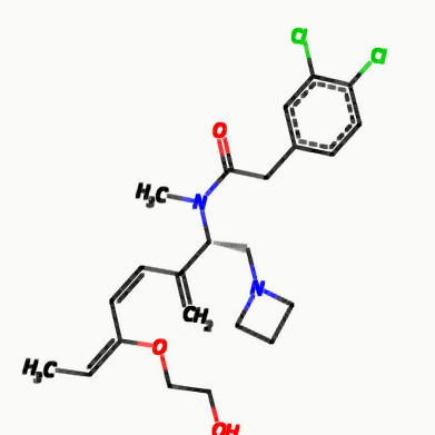 C=C(/C=C\C(=C/C)OCCO)[C@@H](CN1CCC1)N(C)C(=O)Cc1ccc(Cl)c(Cl)c1